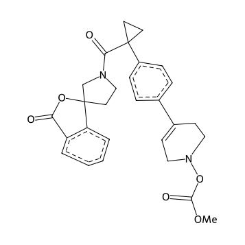 COC(=O)ON1CC=C(c2ccc(C3(C(=O)N4CCC5(C4)OC(=O)c4ccccc45)CC3)cc2)CC1